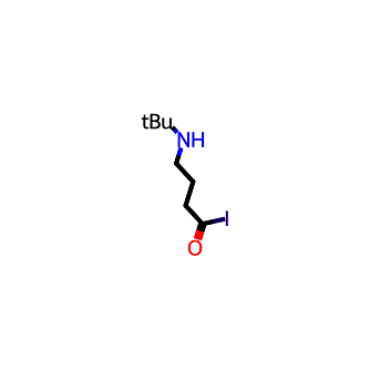 CC(C)(C)NCCCC(=O)I